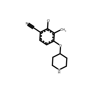 Cc1c(OC2CCNCC2)ccc(C#N)c1Cl